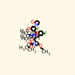 CCCO[C@@H]1C[C@H]([C@@H](O[Si](C)(C)C(C)(C)C)[C@H](Cc2cc(F)cc(F)c2)NC(=O)c2cc(OC)cc(N3CCCC3=O)c2)N(C(=O)OC(C)(C)C)C1